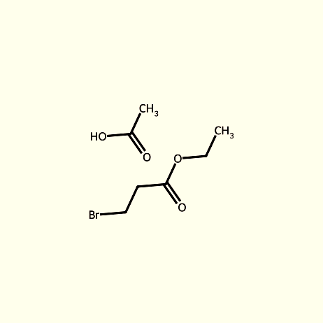 CC(=O)O.CCOC(=O)CCBr